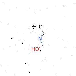 [CH2]/C=N/CO